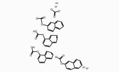 O=C(O)Oc1cccc2ccccc12.O=C(O)Oc1cccc2ccccc12.O=C([O-])Oc1ccc2ccccc2c1.O=C([O-])Oc1ccc2ccccc2c1.O=C([O-])[O-].[H+].[H+].[H+].[H+]